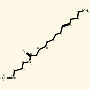 CCCC/C=C/CCCCCCCC(=O)OCCCNC